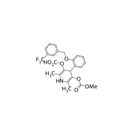 COC(=O)OC1=C(C)NC(C)=C(OC(=O)O)C1c1ccccc1OCc1cccc(C(F)(F)F)c1